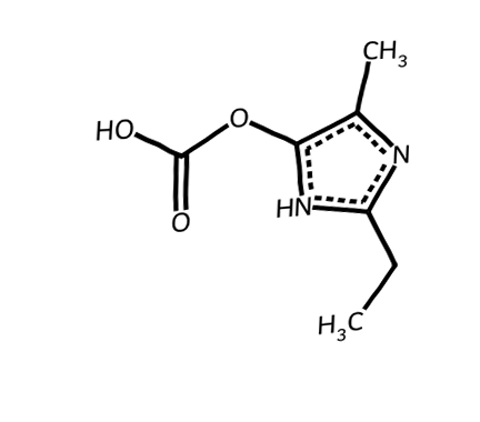 CCc1nc(C)c(OC(=O)O)[nH]1